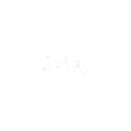 Cc1cc(NC(=O)CC(=O)Nc2ccccc2)ccc1-c1cnco1